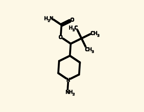 CC(C)(C)C(OC(N)=O)C1CCN(N)CC1